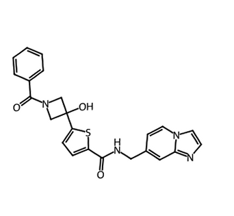 O=C(NCc1ccn2ccnc2c1)c1ccc(C2(O)CN(C(=O)c3ccccc3)C2)s1